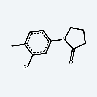 Cc1ccc(N2CCCC2=O)cc1Br